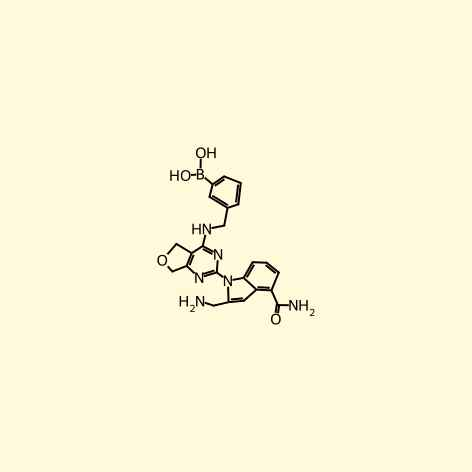 NCc1cc2c(C(N)=O)cccc2n1-c1nc2c(c(NCc3cccc(B(O)O)c3)n1)COC2